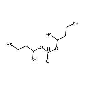 O=[PH](OC(S)CCS)OC(S)CCS